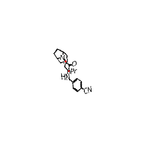 CCCC(=O)N1CC2CCC(C1)N2CCCNc1ccc(C#N)cc1